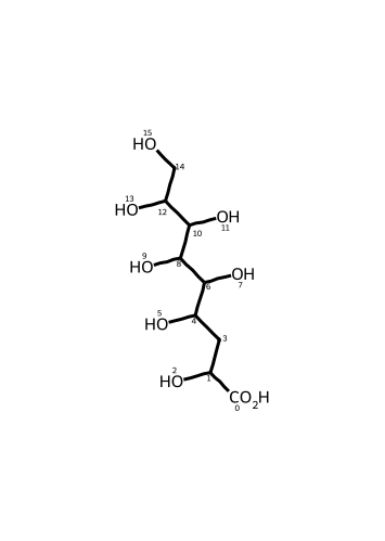 O=C(O)C(O)CC(O)C(O)C(O)C(O)C(O)CO